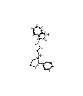 c1ccc(N2CCC/C2=N\CCSc2c[nH]c3ccccc23)cc1